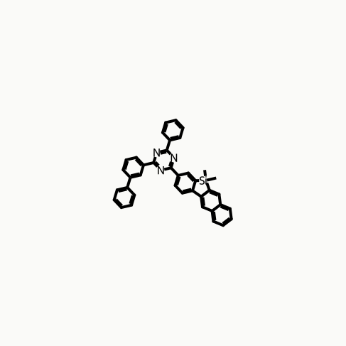 C[Si]1(C)c2cc(-c3nc(-c4ccccc4)nc(-c4cccc(-c5ccccc5)c4)n3)ccc2-c2cc3ccccc3cc21